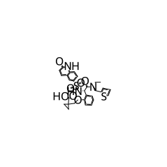 CCN(Cc1cccs1)C(=O)[C@@H](NS(=O)(=O)c1ccc2[nH]c(=O)ccc2c1)c1ccccc1OCC1(C(=O)O)CC1